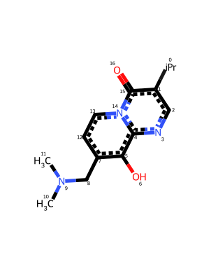 CC(C)c1cnc2c(O)c(CN(C)C)ccn2c1=O